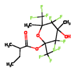 CCC(C)C(=O)OC1(C(F)(F)F)OC(C)(C(F)(F)F)C(F)(F)C(C)(O)C1(F)F